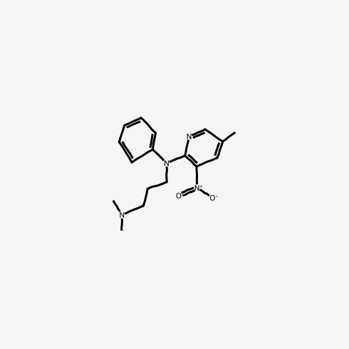 Cc1cnc(N(CCCN(C)C)c2ccccc2)c([N+](=O)[O-])c1